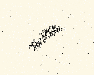 CC[C@]12CC[C@@](C)(O)C[C@H]1CC[C@H]1[C@@H]3CC[C@H](C(=O)Cn4nnc5c(F)c(F)ccc54)[C@@]3(C)CC[C@@H]12